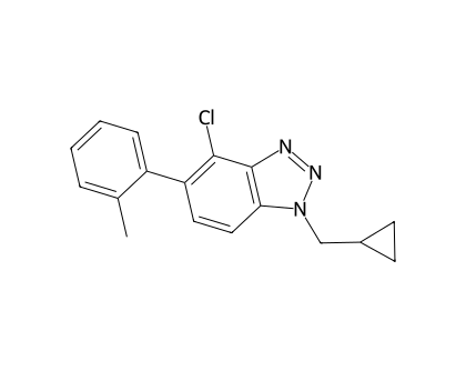 Cc1ccccc1-c1ccc2c(nnn2CC2CC2)c1Cl